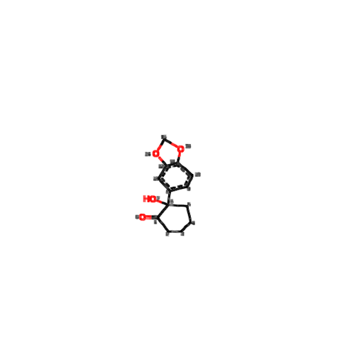 O=C1CCCCC1(O)c1ccc2c(c1)OCO2